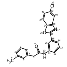 O=C(Cc1cccc(C(F)(F)F)c1)Nc1cccc(-c2nc3cc(Cl)ccc3o2)c1